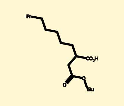 CC(C)CCCCCC(CC(=O)OC(C)(C)C)C(=O)O